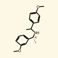 COc1ccc(C(C)N[C@H](C)c2cccc(OC)c2)cc1